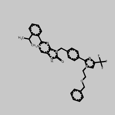 CC(C)c1ccccc1-c1ncc2[nH]c(=O)n(Cc3ccc(-c4nc(C(F)(F)F)cn4CCOCc4ccccc4)cc3)c2n1